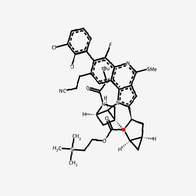 CSc1nc2c(F)c(-c3cccc(Cl)c3Cl)c(CCC#N)cc2c2c1cc([C@H]1C[C@H]3C[C@H]3N1C(=O)OCC[Si](C)(C)C)n2[C@H]1[C@@H]2C[C@H]1N(C(=O)OC(C)(C)C)C2